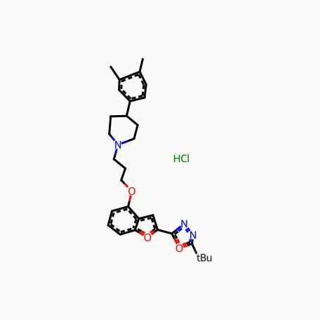 Cc1ccc(C2CCN(CCCOc3cccc4oc(-c5nnc(C(C)(C)C)o5)cc34)CC2)cc1C.Cl